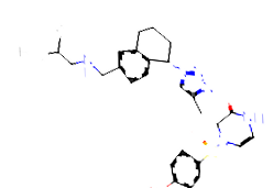 COc1ccc(S(=O)(=O)N2C=CNC(=O)[C@H]2Cc2cn([C@@H]3CCCc4cc(CNCC(C)C)ccc43)nn2)cc1